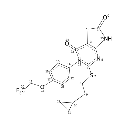 O=C1Cc2c(nc(SCCC3CC3)n(-c3ccc(OCC(F)(F)F)cc3)c2=O)N1